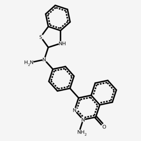 NN(c1ccc(-c2nn(N)c(=O)c3ccccc23)cc1)C1Nc2ccccc2S1